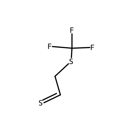 FC(F)(F)SCC=S